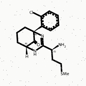 CSCC[C@H](N)C1=N[C@@]2(c3ccccc3Cl)CCC[C@@H](N1)C2=O